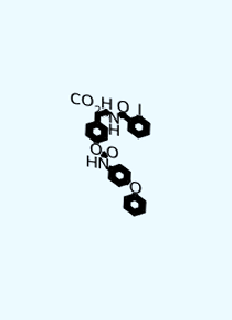 O=C(Nc1ccc(Oc2ccccc2)cc1)Oc1ccc(C[C@H](NC(=O)c2ccccc2I)C(=O)O)cc1